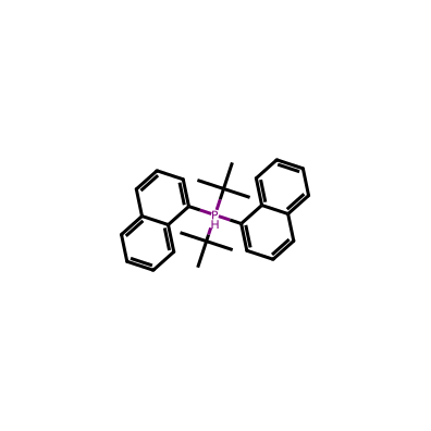 CC(C)(C)[PH](c1cccc2ccccc12)(c1cccc2ccccc12)C(C)(C)C